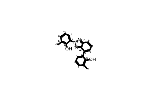 Cc1cccc(-c2cccc3nn(-c4cccc(C)c4O)nc23)c1O